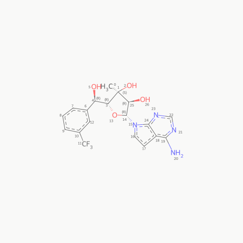 C[C@@]1(O)[C@@H]([C@H](O)c2cccc(C(F)(F)F)c2)O[C@@H](n2ccc3c(N)ncnc32)[C@@H]1O